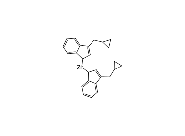 C1=C(CC2CC2)c2ccccc2[CH]1[Zr][CH]1C=C(CC2CC2)c2ccccc21